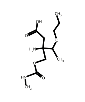 CCCOC(C)C(N)(COC(=O)NC)CC(=O)O